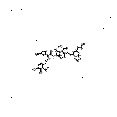 Nc1nc(C(=NOCc2ccc(O)c(O)c2C(=O)O)C(=O)N[C@@H]2C(=O)N3C(C(=O)O)=C(CSc4cc(CC(=O)O)nc5ncnn45)CS[C@H]23)cs1